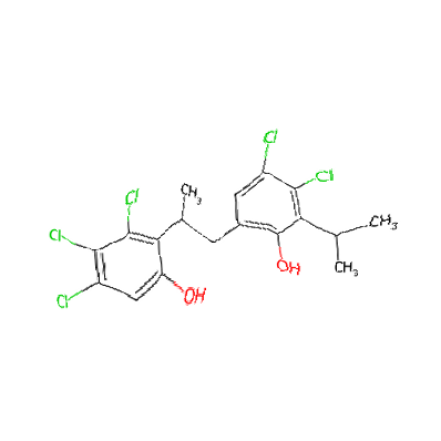 CC(C)c1c(O)c(CC(C)c2c(O)cc(Cl)c(Cl)c2Cl)cc(Cl)c1Cl